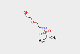 CC(C)S(=O)(=O)NCCOCCO